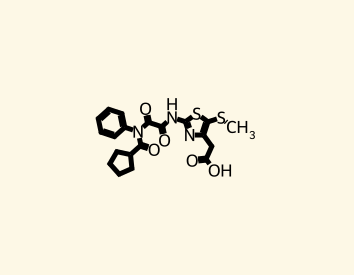 CSc1sc(NC(=O)C(=O)N(C(=O)C2CCCC2)c2ccccc2)nc1CC(=O)O